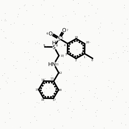 Cc1ccc(S(=O)(=O)[SH](C)CNCc2ccccc2)cc1